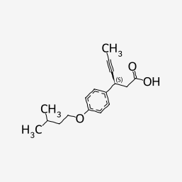 CC#C[C@@H](CC(=O)O)c1ccc(OCCC(C)C)cc1